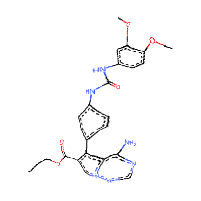 CCOC(=O)c1cn2ncnc(N)c2c1-c1ccc(NC(=O)Nc2ccc(OC)c(OC)c2)cc1